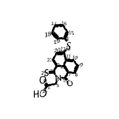 O=C(O)CN1C(=O)c2cccc3c(Sc4ccccc4)ccc(c23)C1=S